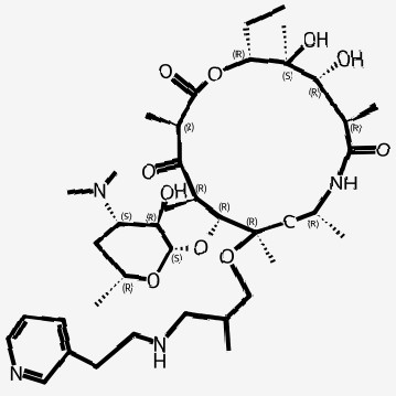 CC[C@H]1OC(=O)[C@H](C)C(=O)[C@H](C)[C@@H](O[C@@H]2O[C@H](C)C[C@H](N(C)C)[C@H]2O)[C@](C)(OCC(C)CNCCc2cccnc2)C[C@@H](C)NC(=O)[C@H](C)[C@@H](O)[C@]1(C)O